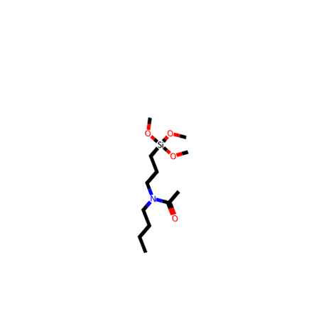 CCCCN(CCC[Si](OC)(OC)OC)C(C)=O